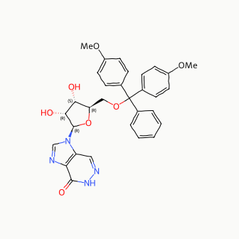 COc1ccc(C(OC[C@H]2O[C@@H](n3cnc4c(=O)[nH]ncc43)[C@H](O)[C@@H]2O)(c2ccccc2)c2ccc(OC)cc2)cc1